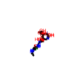 CCCC(C)c1cn(-c2ccc([C@@H](OC)[C@@H](CF)n3cc(CCN(C)[C@H]4C[C@@H](C)O[C@@H](O[C@@H]5[C@@H](C)[C@H](O[C@H]6C[C@@](C)(OC)[C@@H](O)[C@H](C)O6)[C@@H](C)C(=O)O[C@H](I)[C@@](C)(O)[C@H](O)[C@@H](C)N(C)C[C@H](C)C[C@@]5(C)O)[C@@H]4O)nn3)cc2)nn1